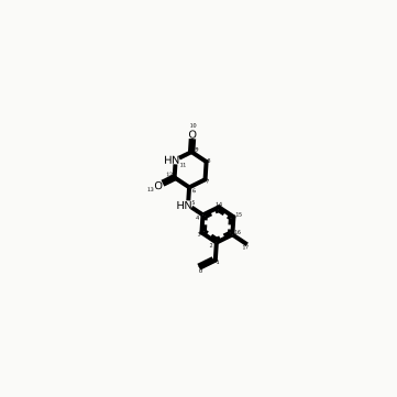 C=Cc1cc(NC2CCC(=O)NC2=O)ccc1C